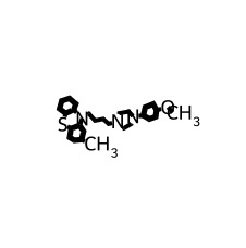 COc1ccc(N2CCN(CCCCN3c4ccccc4Sc4ccc(C)cc43)CC2)cc1